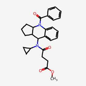 COC(=O)CCC(=O)N(C1CC1)C1c2ccccc2N(C(=O)c2ccccc2)C2CCCC21